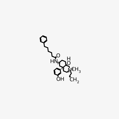 C=CC[N@@+]1(C)CC[C@@]2(c3cccc(O)c3)C[C@H](NC(=O)CCCCCc3ccccc3)CCC2(O)C1